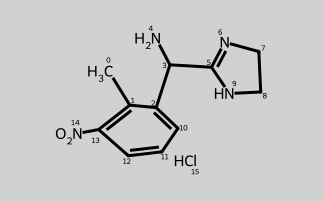 Cc1c(C(N)C2=NCCN2)cccc1[N+](=O)[O-].Cl